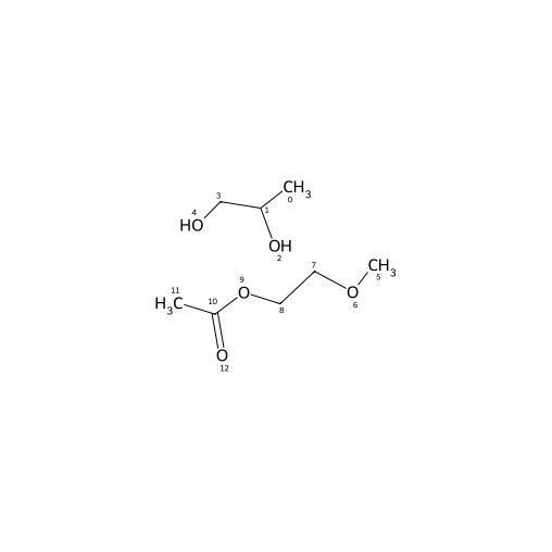 CC(O)CO.COCCOC(C)=O